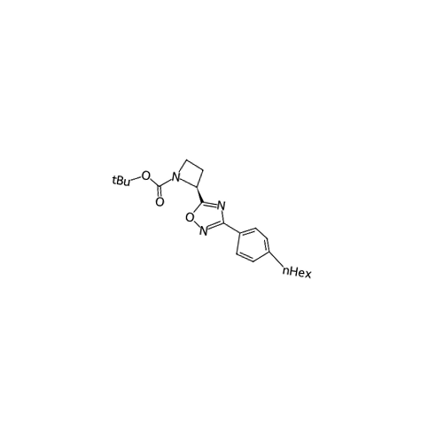 CCCCCCc1ccc(-c2noc([C@@H]3CCN3C(=O)OC(C)(C)C)n2)cc1